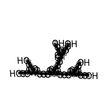 O=C(/C=C(/CC(=O)OCOCO)C(=O)OCOCO)OCOCOC(=O)/C=C(/CC(=O)OCOCOC(=O)/C=C(/CC(=O)OCOCO)C(=O)OCOCO)C(=O)OCOCOC(=O)/C=C(/CC(=O)OCOO)C(=O)OCOCO